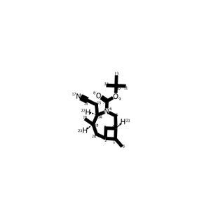 CC1C2C[C@H]1CN(C(=O)OC(C)(C)C)[C@H](CC#N)[C@H](C)C2